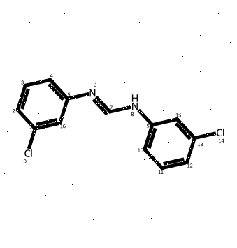 Clc1cccc(N=CNc2cccc(Cl)c2)c1